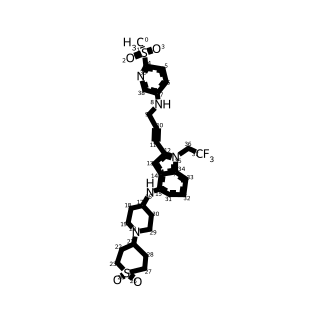 CS(=O)(=O)c1ccc(NCC#Cc2cc3c(NC4CCN(C5CCS(=O)(=O)CC5)CC4)cccc3n2CC(F)(F)F)cn1